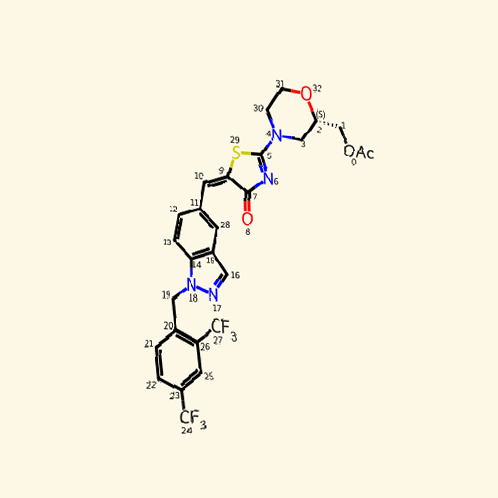 CC(=O)OC[C@@H]1CN(C2=NC(=O)C(=Cc3ccc4c(cnn4Cc4ccc(C(F)(F)F)cc4C(F)(F)F)c3)S2)CCO1